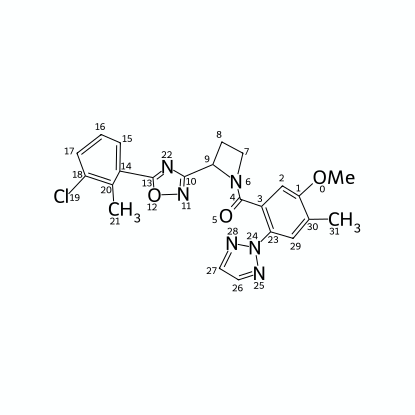 COc1cc(C(=O)N2CCC2c2noc(-c3cccc(Cl)c3C)n2)c(-n2nccn2)cc1C